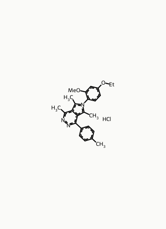 CCOc1ccc(-n2c(C)c3c(C)nnc(-c4ccc(C)cc4)c3c2C)c(OC)c1.Cl